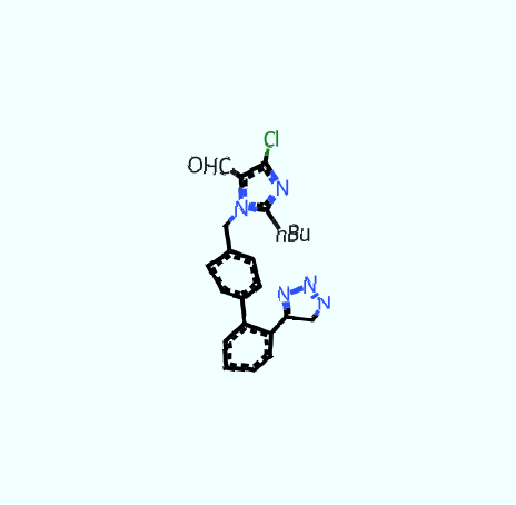 CCCCc1nc(Cl)c(C=O)n1Cc1ccc(-c2ccccc2C2=NN=NC2)cc1